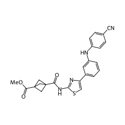 COC(=O)C12CC(C(=O)Nc3nc(-c4cccc(Nc5ccc(C#N)cc5)c4)cs3)(C1)C2